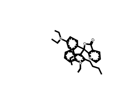 CCCCc1c(C2(c3ccc(N(CC)CC)cc3OCC)OC(=O)c3cccnc32)c2ccccc2n1CC